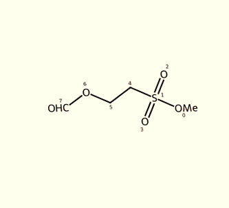 COS(=O)(=O)CCOC=O